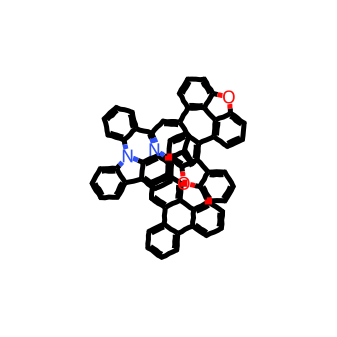 C=C1CC(c2cccc3oc4cccc(-c5cccc6oc7ccccc7c56)c4c23)=CC(c2ccccc2-n2c3ccccc3c3ccccc32)=NC1c1ccc2c3ccccc3c3ccccc3c2c1